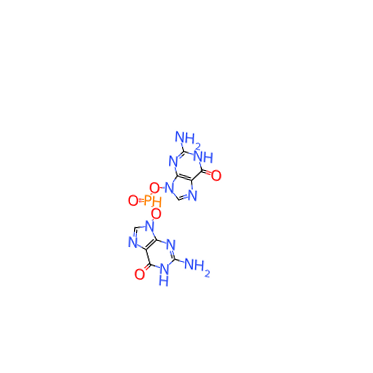 Nc1nc2c(ncn2O[PH](=O)On2cnc3c(=O)[nH]c(N)nc32)c(=O)[nH]1